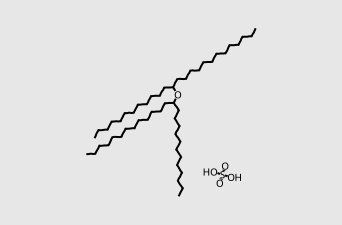 CCCCCCCCCCCCCC(CCCCCCCCCCCC)OC(CCCCCCCCCCCC)CCCCCCCCCCCCC.O=S(=O)(O)O